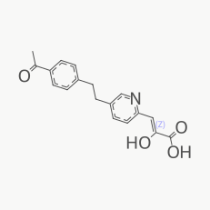 CC(=O)c1ccc(CCc2ccc(/C=C(\O)C(=O)O)nc2)cc1